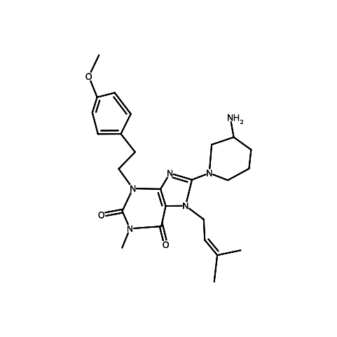 COc1ccc(CCn2c(=O)n(C)c(=O)c3c2nc(N2CCCC(N)C2)n3CC=C(C)C)cc1